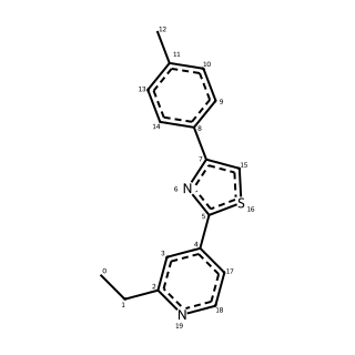 CCc1cc(-c2nc(-c3ccc(C)cc3)cs2)ccn1